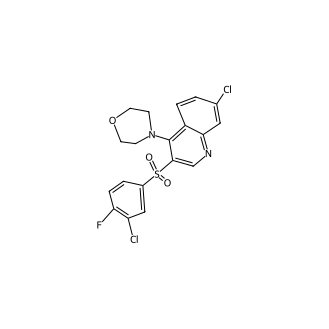 O=S(=O)(c1ccc(F)c(Cl)c1)c1cnc2cc(Cl)ccc2c1N1CCOCC1